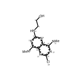 CNc1nc(NCCO)nc2c(NC)nc(Cl)nc12